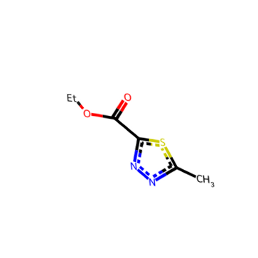 CCOC(=O)c1nnc(C)s1